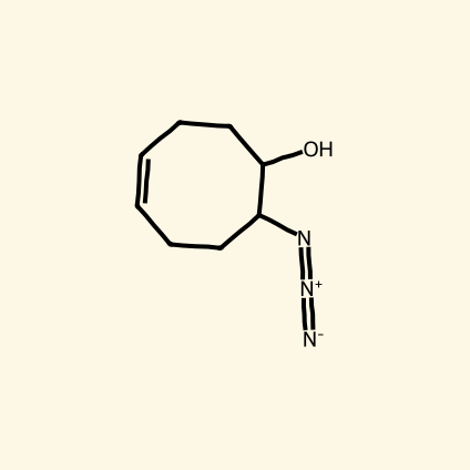 [N-]=[N+]=NC1CC/C=C\CCC1O